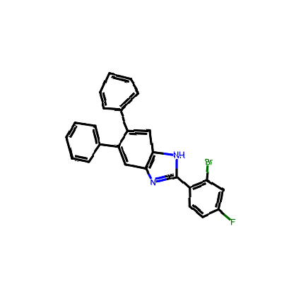 Fc1ccc(-c2nc3cc(-c4ccccc4)c(-c4ccccc4)cc3[nH]2)c(Br)c1